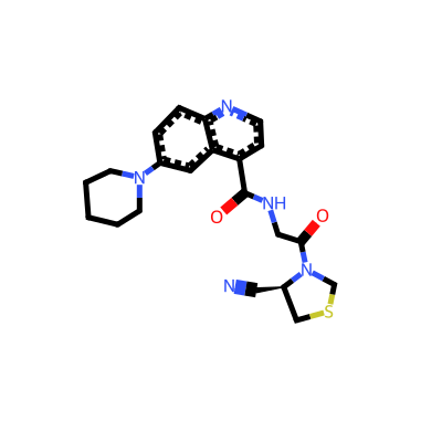 N#C[C@@H]1CSCN1C(=O)CNC(=O)c1ccnc2ccc(N3CCCCC3)cc12